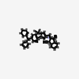 CC1(C)c2cc(N(C3=CC=CCC3)c3ccccc3)cnc2-c2sc(/C=C3/C(=O)c4ccccc4C3O)cc21